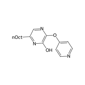 CCCCCCCCc1cnc(Oc2ccncc2)c(O)n1